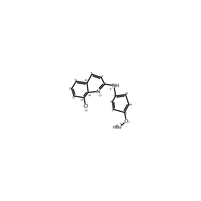 CCCCOc1ccc(Nc2ccc3cccc(Cl)c3n2)cc1